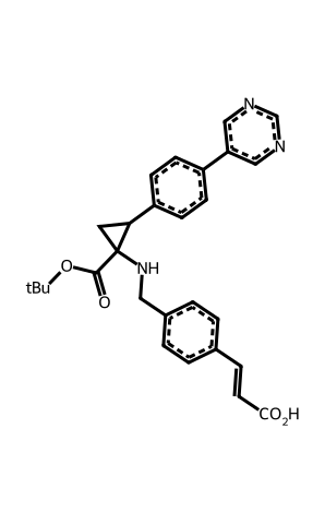 CC(C)(C)OC(=O)C1(NCc2ccc(/C=C/C(=O)O)cc2)CC1c1ccc(-c2cncnc2)cc1